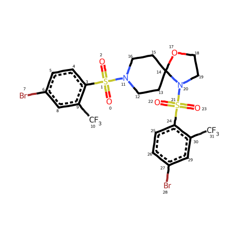 O=S(=O)(c1ccc(Br)cc1C(F)(F)F)N1CCC2(CC1)OCCN2S(=O)(=O)c1ccc(Br)cc1C(F)(F)F